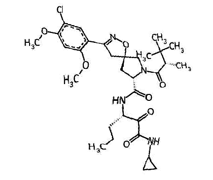 CCC[C@H](NC(=O)[C@@H]1C[C@]2(CC(c3cc(Cl)c(OC)cc3OC)=NO2)CN1C(=O)[C@@H](C)C(C)(C)C)C(=O)C(=O)NC1CC1